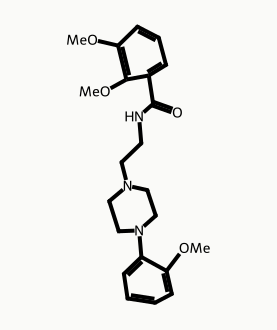 COc1ccccc1N1CCN(CCNC(=O)c2cccc(OC)c2OC)CC1